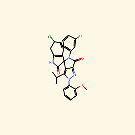 COc1ccccc1-n1nc2c(c1C(C)C)C1(C(=O)NC3=C1C=CC(Cl)C3)N(c1cccc(Cl)c1)C2=O